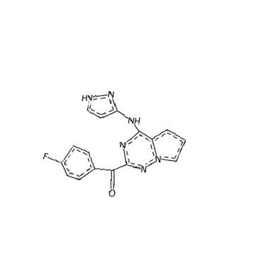 O=C(c1ccc(F)cc1)c1nc(Nc2cc[nH]n2)c2cccn2n1